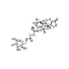 CC(C)[C@]12O[C@H]1[C@@H]1O[C@]13[C@]1(O[C@H]1C[C@H]1C4=C(CC[C@@]13C)C(=O)OC4)[C@@H]2OC(=O)CCC(=O)OC[C@H]1OC(O)[C@H](F)[C@@H](O)[C@@H]1O